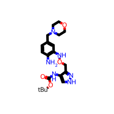 CC(C)(C)OC(=O)Nc1c[nH]nc1CONc1cc(CN2CCOCC2)ccc1N